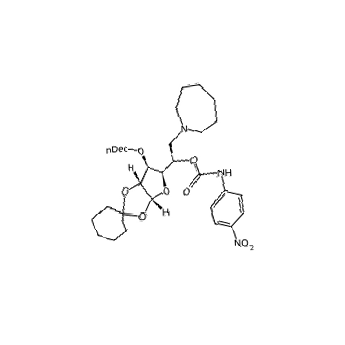 CCCCCCCCCCO[C@@H]1[C@H]2OC3(CCCCC3)O[C@H]2O[C@@H]1[C@@H](CN1CCCCCC1)OC(=O)Nc1ccc([N+](=O)[O-])cc1